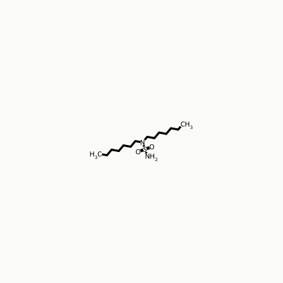 CCCCCCCN(CCCCCCC)S(N)(=O)=O